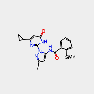 CSc1ccccc1C(=O)Nc1cc(C)nn1-c1nc(C2CC2)cc(=O)[nH]1